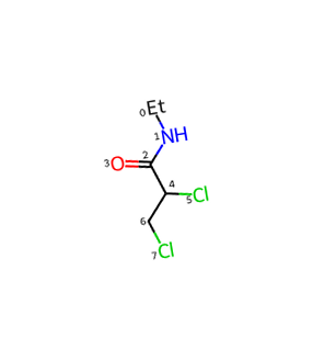 CCNC(=O)C(Cl)CCl